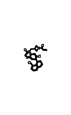 C=CC(=O)N1CC(Cn2c(=O)cnc3cc(-c4cccc5cccc(Cl)c45)c(Cl)cc32)C1